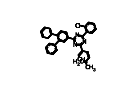 C=C(C)/C=C\C(=C/C)c1nc(-c2ccc(C3=CC=C=CC3)c(-c3ccccc3)c2)nc(-c2ccccc2Cl)n1